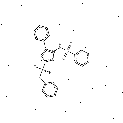 O=S(=O)(Nn1nc(C(F)(F)Cc2ccccc2)cc1-c1ccccc1)c1ccccc1